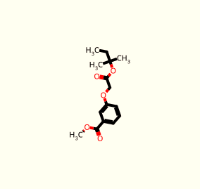 CCC(C)(C)OC(=O)COc1cccc(C(=O)OC)c1